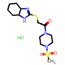 CS(=O)(=O)N1CCN(C(=O)CSC2=NC3CCCCC3N2)CC1.Cl